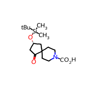 CC(C)(C)[Si](C)(C)O[C@H]1CC(=O)C2(CCN(C(=O)O)CC2)C1